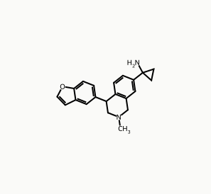 CN1Cc2cc(C3(N)CC3)ccc2C(c2ccc3occc3c2)C1